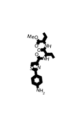 C/C=C(\NC(=O)c1csc(-c2ccc(N)cc2)n1)C(=O)N/C(=C/C)C(=O)OC